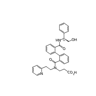 O=C(O)CCN(CCc1ccccn1)C(=O)c1ccccc1-c1ccccc1C(=O)N[C@H](CO)c1ccccc1